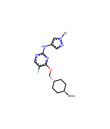 CCn1cc(Nc2ncc(F)c(OC[C@H]3CC[C@H](NC(C)=O)CC3)n2)cn1